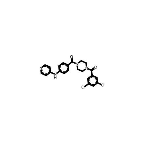 O=C(c1ccc(Nc2ccncc2)cc1)N1CCN(C(=O)c2cc(Cl)cc(Cl)c2)CC1